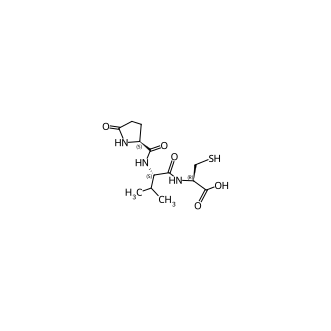 CC(C)[C@H](NC(=O)[C@@H]1CCC(=O)N1)C(=O)N[C@@H](CS)C(=O)O